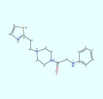 O=C(CNc1ccccc1)N1CCN(CCc2nccs2)CC1